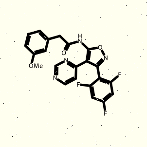 COc1cccc(CC(=O)Nc2onc(-c3c(F)cc(F)cc3F)c2-c2ccncn2)c1